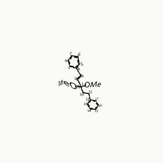 COC(CCc1ccccc1)(CCc1ccccc1)OC